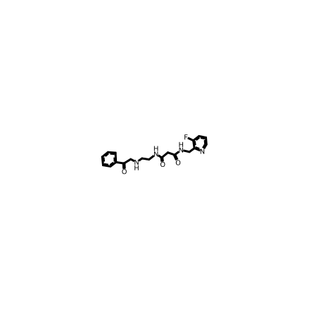 O=C(CC(=O)NCc1ncccc1F)NCCNCC(=O)c1ccccc1